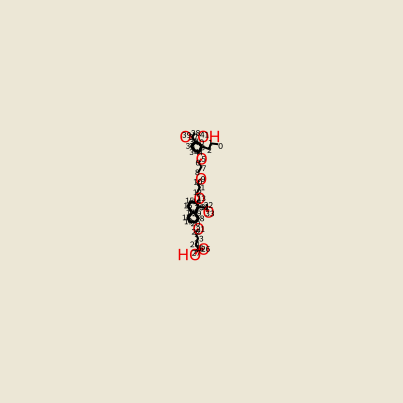 CCCc1c(OCCCOCCCOc2ccc3ccc(OCCCC(=O)O)cc3c2C(C)=O)ccc(C(C)=O)c1O